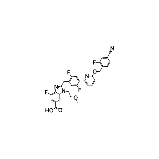 COCCn1c(Cc2cc(F)c(-c3cccc(OCc4ccc(C#N)cc4F)n3)cc2F)nc2c(F)cc(C(=O)O)cc21